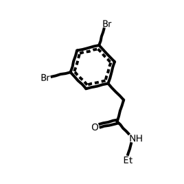 CCNC(=O)Cc1cc(Br)cc(Br)c1